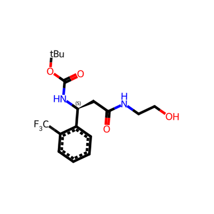 CC(C)(C)OC(=O)N[C@@H](CC(=O)NCCO)c1ccccc1C(F)(F)F